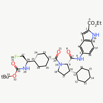 CCOC(=O)c1cc2cc(NC(=O)[C@@H]3[C@H](C4CCCCC4)CCN3C(=O)[C@H]3CC[C@@H]([C@H](CF)NC(=O)OC(C)(C)C)CC3)ccc2[nH]1